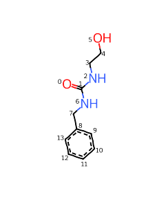 O=C(NCCO)NCc1ccccc1